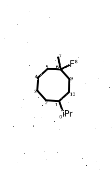 CC(C)C1CCCCC(C)(F)CC1